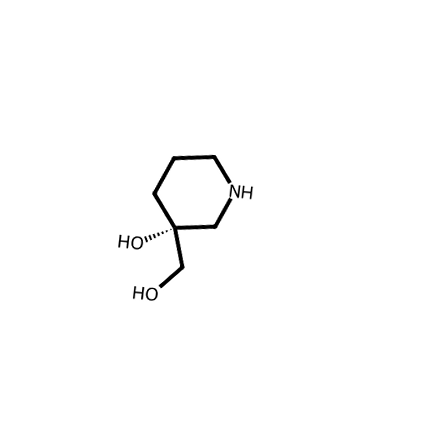 OC[C@@]1(O)CCCNC1